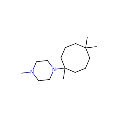 CN1CCN(C2(C)CCCC(C)(C)CCC2)CC1